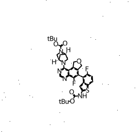 CC(C)(C)OC(=O)Nc1cc2c(-c3c4c(c5c(N6C[C@H]7C[C@@H]6CN7C(=O)OC(C)(C)C)ncnc5c3F)COC4)c(F)ccc2s1